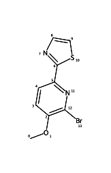 COc1ccc(-c2nccs2)nc1Br